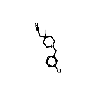 N#CCC1(I)CCN(Cc2cccc(Cl)c2)CC1